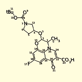 CC1C(OC2CCN(C(=O)OC(C)(C)C)C2)Oc2cc(F)cc3c(=O)c(C(=O)O)cn1c23